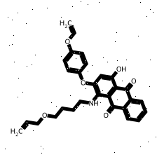 C=CCOCCCCNc1c(Oc2ccc(OC=C)cc2)cc(O)c2c1C(=O)c1ccccc1C2=O